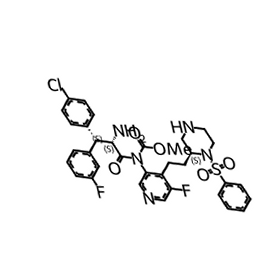 COC(=O)N(C(=O)[C@@H](N)[C@@H](c1ccc(Cl)cc1)c1cccc(F)c1)c1cncc(F)c1CC[C@H]1CNCCN1S(=O)(=O)c1ccccc1